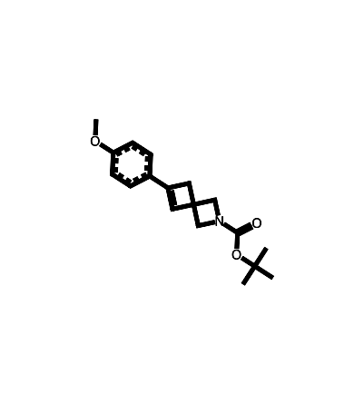 COc1ccc(C2=CC3(C2)CN(C(=O)OC(C)(C)C)C3)cc1